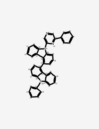 c1ccc(-c2cncc(-n3c4ccccc4c4c(-c5cccc6c5c5ccccc5n6-c5ccccc5)cccc43)n2)cc1